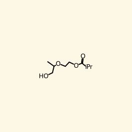 CC(CO)OCCOC(=O)C(C)C